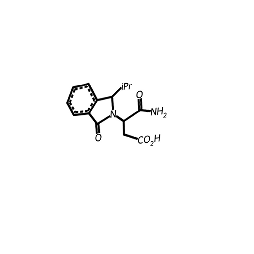 CC(C)C1c2ccccc2C(=O)N1C(CC(=O)O)C(N)=O